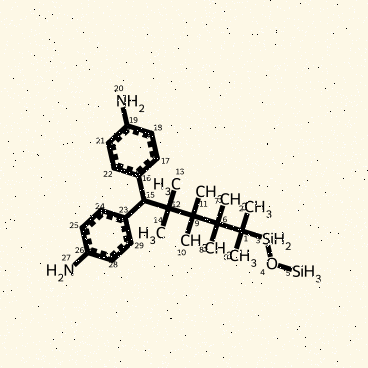 CC(C)([SiH2]O[SiH3])C(C)(C)C(C)(C)C(C)(C)C(c1ccc(N)cc1)c1ccc(N)cc1